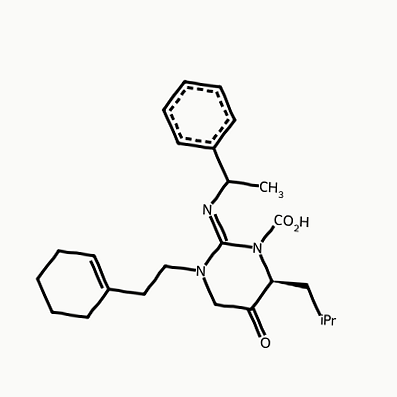 CC(C)C[C@H]1C(=O)CN(CCC2=CCCCC2)C(=NC(C)c2ccccc2)N1C(=O)O